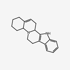 C1=C2CCCCC2N2CCc3c([nH]c4ccccc34)C2C1